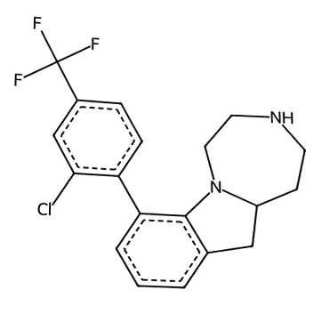 FC(F)(F)c1ccc(-c2cccc3c2N2CCNCCC2C3)c(Cl)c1